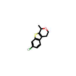 CC1OCCc2c1sc1cc(Cl)ccc21